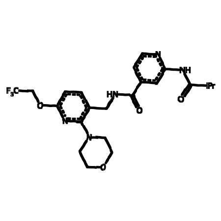 CC(C)C(=O)Nc1cc(C(=O)NCc2ccc(OCC(F)(F)F)nc2N2CCOCC2)ccn1